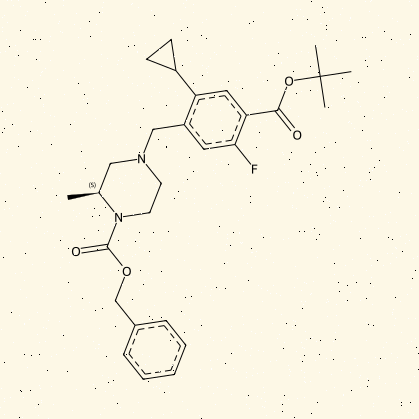 C[C@H]1CN(Cc2cc(F)c(C(=O)OC(C)(C)C)cc2C2CC2)CCN1C(=O)OCc1ccccc1